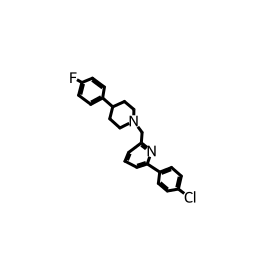 Fc1ccc(C2CCN(Cc3cccc(-c4ccc(Cl)cc4)n3)CC2)cc1